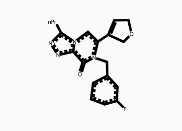 CCCc1nnc2c(=O)n(Cc3cccc(F)c3)c(C3=CCOC3)cn12